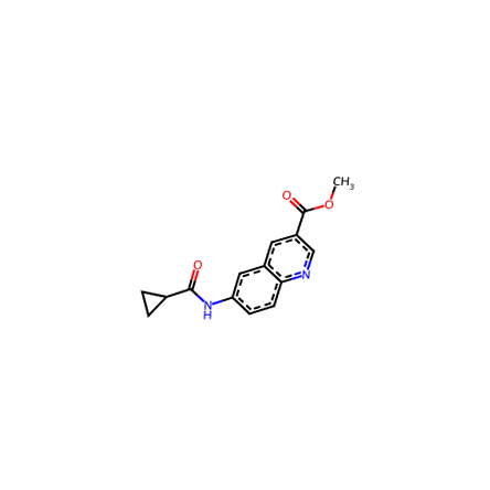 COC(=O)c1cnc2ccc(NC(=O)C3CC3)cc2c1